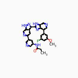 CCC(=O)Nc1cncc(-c2cc3c(-c4nc5c(-c6cc(F)cc(OC)c6)cncc5[nH]4)n[nH]c3cn2)c1